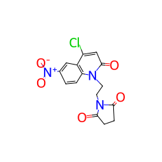 O=C1CCC(=O)N1CCn1c(=O)cc(Cl)c2cc([N+](=O)[O-])ccc21